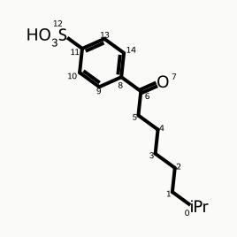 CC(C)CCCCCC(=O)c1ccc(S(=O)(=O)O)cc1